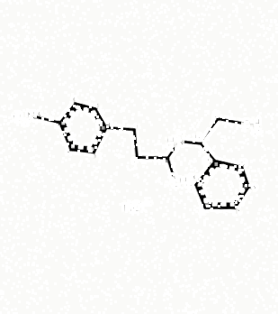 CC(CCc1ccc([N+](=O)[O-])cc1)N[C@@H](CO)c1ccccc1.Cl